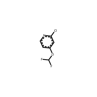 FC(F)Oc1ccnc(Cl)c1